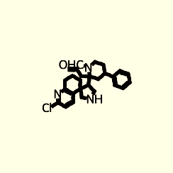 C=CCC1(C2CNCC23CCCc2nc(Cl)ccc23)CC(c2ccccc2)CCN1C=O